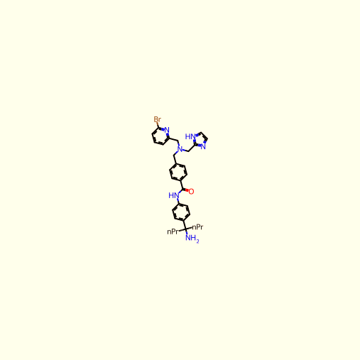 CCCC(N)(CCC)c1ccc(NC(=O)c2ccc(CN(Cc3cccc(Br)n3)Cc3ncc[nH]3)cc2)cc1